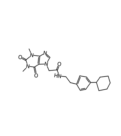 Cn1c(=O)c2c(ncn2CC(=O)NCCc2ccc(C3CCCCC3)cc2)n(C)c1=O